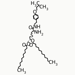 CCCCCCCCCCCC(=O)OC[C@H](CSC[C@H](N)C(=O)NCCc1ccc(OCCC(C)C)cc1)OC(=O)CCCCCCCCCCC